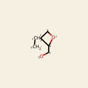 [CH2]C.[O]CC1CCO1